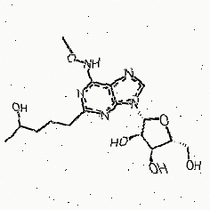 CONc1nc(CCCC(C)O)nc2c1ncn2[C@@H]1O[C@H](CO)[C@@H](O)[C@H]1O